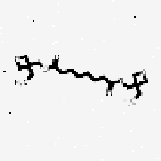 CCC1(COC(=O)CCCCCCC(=O)OCC2(CC)COC2)COC1